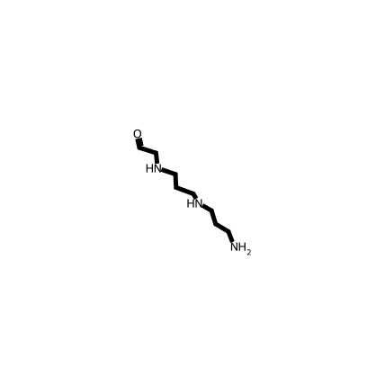 NCCCNCCCNCC=O